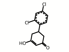 O=C1C=C(O)CC(c2ccc(Cl)cc2Cl)C1